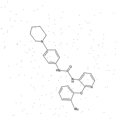 CC(C)(C)c1ccccc1Oc1ncccc1NC(=O)Nc1ccc(N2CCCCC2)cc1